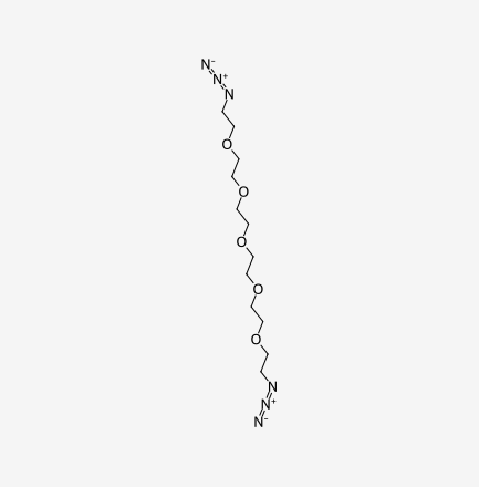 [N-]=[N+]=NCCOCCOCCOCCOCCOCCN=[N+]=[N-]